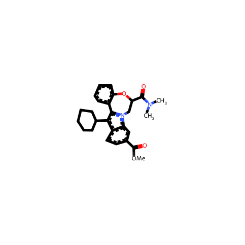 COC(=O)c1ccc2c(C3CCCCC3)c3n(c2c1)CC(C(=O)N(C)C)Oc1ccccc1-3